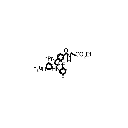 CCC[C@@H](c1ccc(C(=O)NCCC(=O)OCC)cc1)[C@H](C(=O)Nc1cc(F)ccc1F)c1ccc(OC(F)(F)F)cc1